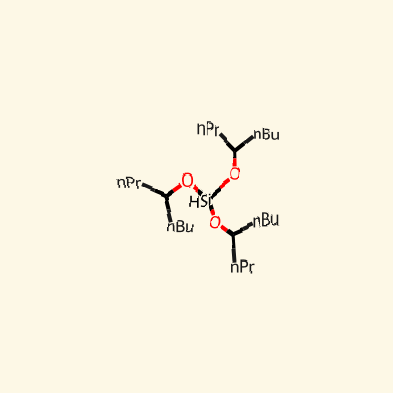 CCCCC(CCC)O[SiH](OC(CCC)CCCC)OC(CCC)CCCC